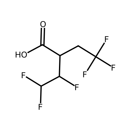 O=C(O)C(CC(F)(F)F)C(F)C(F)F